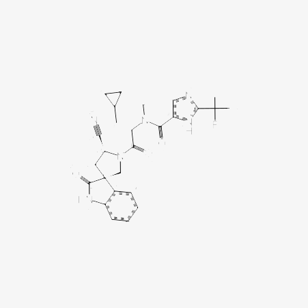 CN(C(=O)c1cnc(C(F)(F)F)[nH]1)[C@@H](CC1CC1)C(=O)N1C[C@]2(C[C@H]1C#N)C(=O)Nc1ccccc12